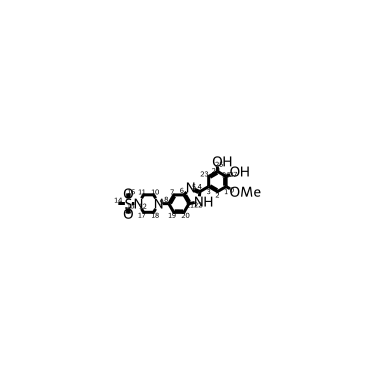 COc1cc(-c2nc3cc(N4CCN(S(C)(=O)=O)CC4)ccc3[nH]2)cc(O)c1O